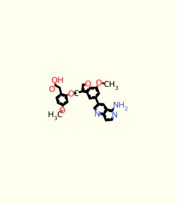 COc1ccc(CC(=O)O)c(OCc2coc3c(OC)cc(-c4cnc5ccnc(N)c5c4)cc23)c1